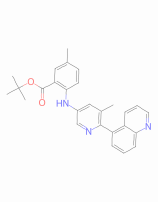 Cc1ccc(Nc2cnc(-c3cccc4ncccc34)c(C)c2)c(C(=O)OC(C)(C)C)c1